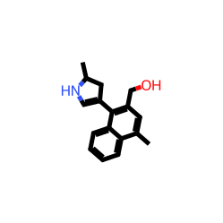 Cc1cc(CO)c(C2=CNC(C)C2)c2ccccc12